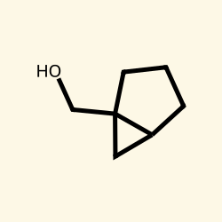 OCC12CCCC1C2